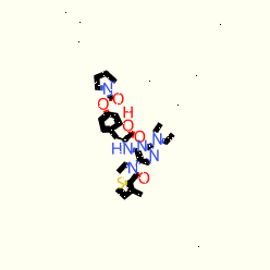 CCN(CC)c1ncc(N(CC)C(=O)c2sccc2C)c(N[C@@H](Cc2ccc(OC(=O)N3CCCC3)cc2)C(=O)O)n1